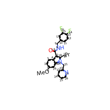 COc1ccc2c(C(=O)NCc3ccc(F)c(F)c3)c(C(C)C)n(Cc3ccccn3)c2c1